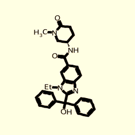 CCn1c(C(O)(c2ccccc2)c2ccccc2)nc2ccc(C(=O)N[C@H]3CCC(=O)N(C)C3)cc21